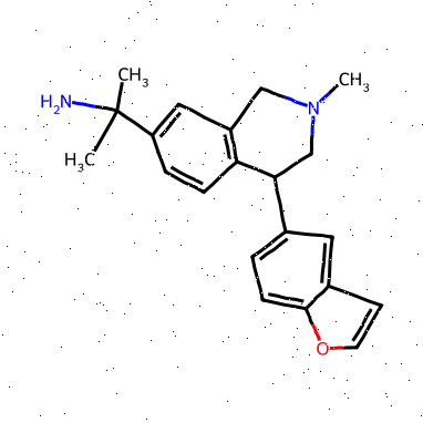 CN1Cc2cc(C(C)(C)N)ccc2C(c2ccc3occc3c2)C1